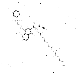 CCCCCCCCCCCCCCCCN(C(=O)c1cc(OCCS(=O)(=O)c2ccccc2)c2ccccc2c1O)C(C)C#N